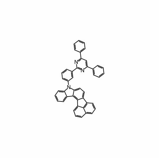 c1ccc(-c2cc(-c3ccccc3)nc(-c3cccc(-n4c5ccccc5c5c6c(ccc54)-c4cccc5cccc-6c45)c3)n2)cc1